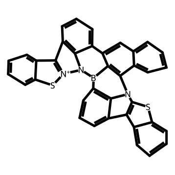 c1ccc2c3c4c(cc2c1)-c1cccc2c1n([n+]1sc5ccccc5c21)B4c1cccc2c4c5ccccc5sc4n-3c12